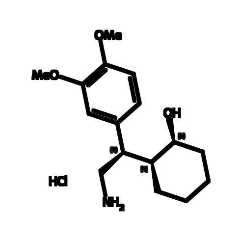 COc1ccc([C@H](CN)[C@@H]2CCCC[C@@H]2O)cc1OC.Cl